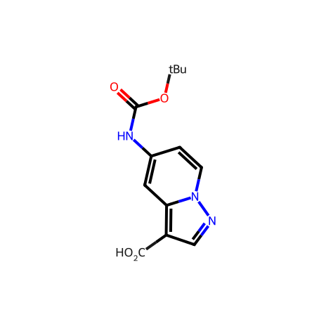 CC(C)(C)OC(=O)Nc1ccn2ncc(C(=O)O)c2c1